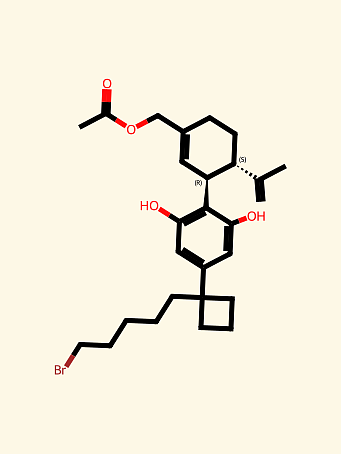 C=C(C)[C@H]1CCC(COC(C)=O)=C[C@@H]1c1c(O)cc(C2(CCCCCBr)CCC2)cc1O